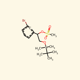 CC(C)(C)[Si](C)(C)OCC(OS(C)(=O)=O)c1cccc(Br)c1